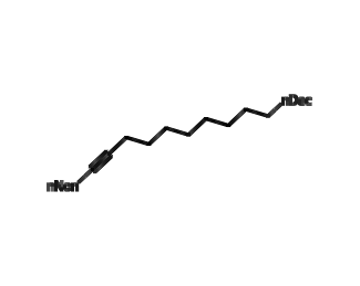 [CH2]CCCCCCCCC#CCCCCCCCCCCCCCCCCC[CH2]